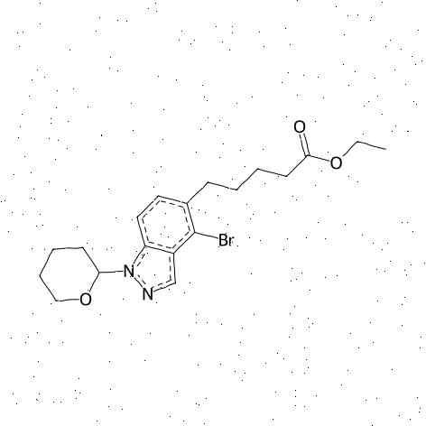 CCOC(=O)CCCCc1ccc2c(cnn2C2CCCCO2)c1Br